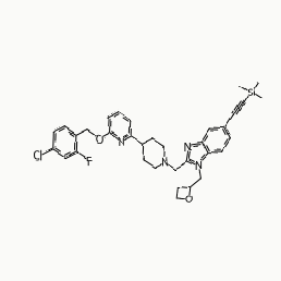 C[Si](C)(C)C#Cc1ccc2c(c1)nc(CN1CCC(c3cccc(OCc4ccc(Cl)cc4F)n3)CC1)n2CC1CCO1